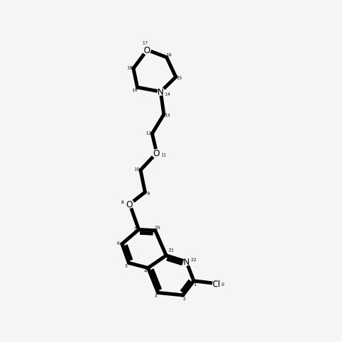 Clc1ccc2ccc(OCCOCCN3CCOCC3)cc2n1